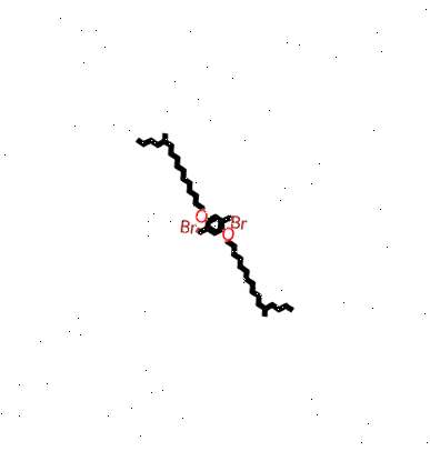 CCCCC(C)CCCCCCCCCCCOc1cc(CBr)c(OCCCCCCCCCCCC(C)CCCC)cc1CBr